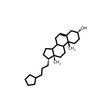 CC12CC[C@H](O)CC1=CCC1C2CC[C@@]2(C)C1CC[C@@H]2CCCC1CCCC1